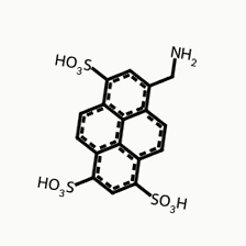 NCc1cc(S(=O)(=O)O)c2ccc3c(S(=O)(=O)O)cc(S(=O)(=O)O)c4ccc1c2c43